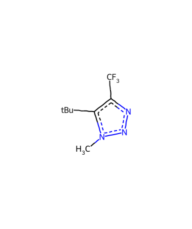 Cn1nnc(C(F)(F)F)c1C(C)(C)C